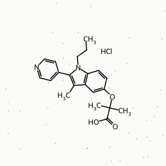 CCCn1c(-c2ccncc2)c(C)c2cc(OC(C)(C)C(=O)O)ccc21.Cl